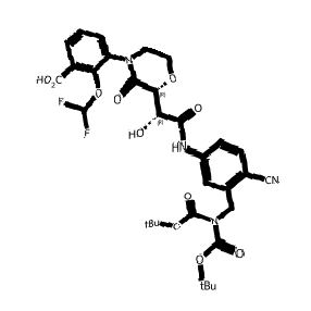 CC(C)(C)OC(=O)N(Cc1cc(NC(=O)[C@H](O)[C@H]2OCCN(c3cccc(C(=O)O)c3OC(F)F)C2=O)ccc1C#N)C(=O)OC(C)(C)C